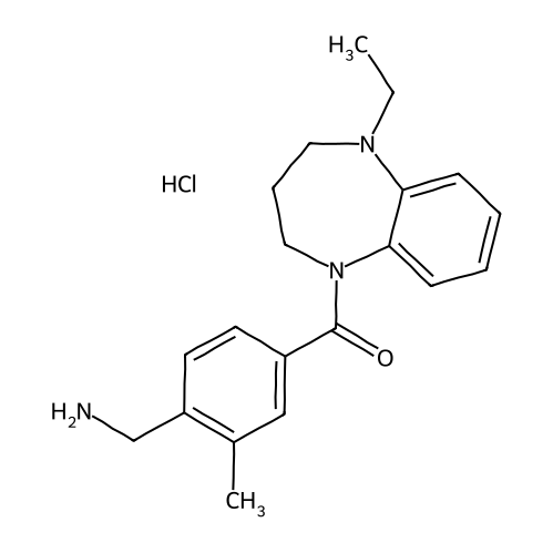 CCN1CCCN(C(=O)c2ccc(CN)c(C)c2)c2ccccc21.Cl